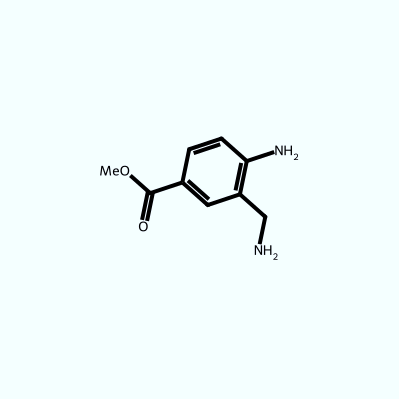 COC(=O)c1ccc(N)c(CN)c1